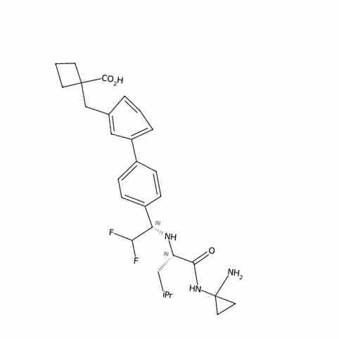 CC(C)C[C@H](N[C@@H](c1ccc(-c2cccc(CC3(C(=O)O)CCC3)c2)cc1)C(F)F)C(=O)NC1(N)CC1